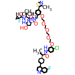 C/C=C(\C(=O)Nc1ccc(Cl)c(OCCOCCOCCOCCOc2cc(-c3scnc3C)ccc2CNC(=O)[C@@H]2C[C@@H](O)CN2C(=O)[C@@H](NC(=O)C2(F)CC2)C(C)(C)C)c1)[C@@H]1CC=C(c2ccnc3ccc(F)cc23)CC1